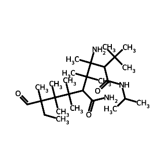 CCC(C)(C=O)C(C)(C)C(C)(C)C(C(N)=O)C(C)(C)C(C)(N)C(C(=O)NC(C)C)C(C)(C)C